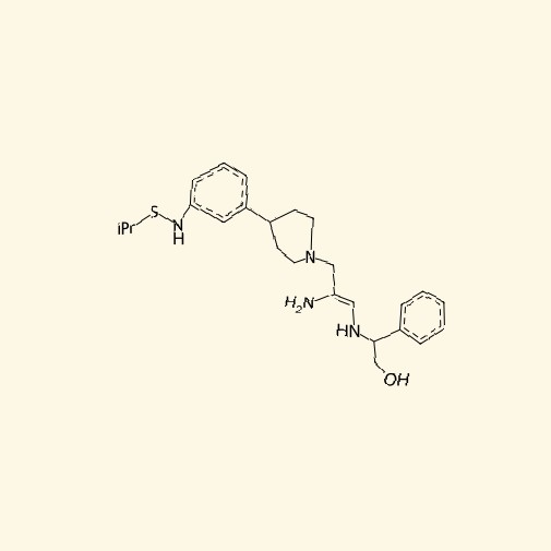 CC(C)SNc1cccc(C2CCN(C/C(N)=C/NC(CO)c3ccccc3)CC2)c1